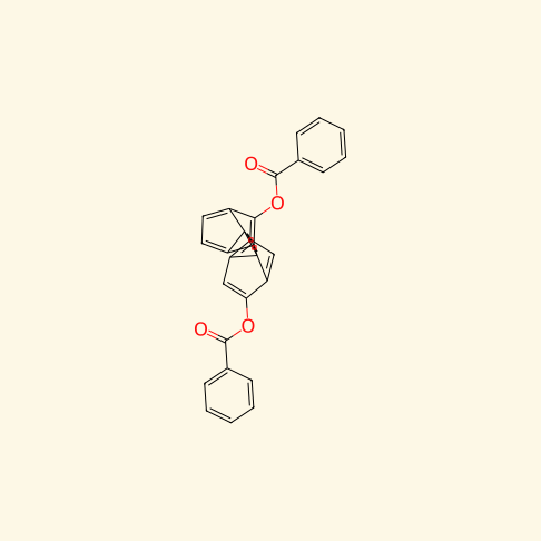 O=C(OC1=CC2=CC=C1C21CCCCC12C1=CC=C2C(OC(=O)c2ccccc2)=C1)c1ccccc1